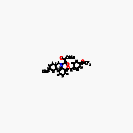 COC(=O)C(=O)N(Cc1ccc(C(C)(C)C)cc1)c1ccccc1OCc1ccc(OC(F)(F)F)cc1